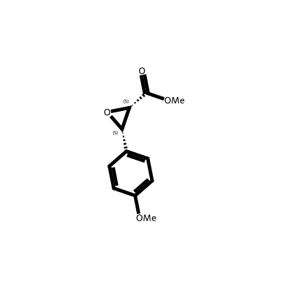 COC(=O)[C@H]1O[C@H]1c1ccc(OC)cc1